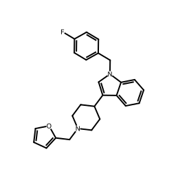 Fc1ccc(Cn2cc(C3CCN(Cc4ccco4)CC3)c3ccccc32)cc1